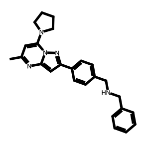 Cc1cc(N2CCCC2)n2nc(-c3ccc(CNCc4ccccc4)cc3)cc2n1